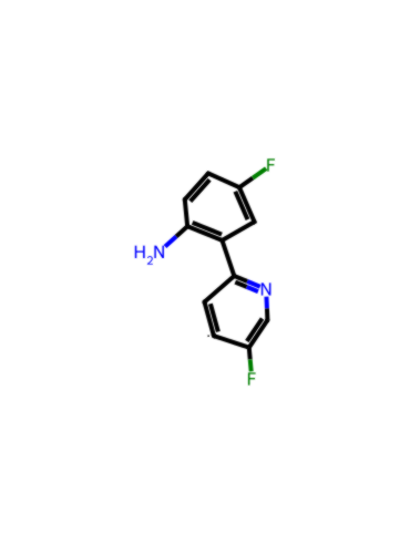 Nc1ccc(F)cc1-c1c[c]c(F)cn1